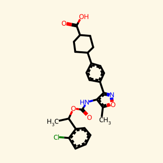 Cc1onc(-c2ccc(C3CCC(C(=O)O)CC3)cc2)c1NC(=O)OC(C)c1ccccc1Cl